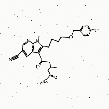 CC(CC(=O)O)CC(=O)c1c(CCCCOCc2ccc(Cl)cc2)n(C)c2ncc(C#N)cc12